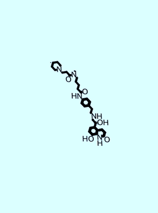 CN(CCCCC(=O)Nc1ccc(CCNC[C@H](O)c2ccc(O)c3[nH]c(=O)ccc23)cc1)C(=O)CCN1CC[CH]CC1